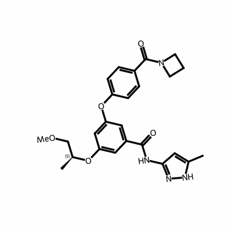 COC[C@H](C)Oc1cc(Oc2ccc(C(=O)N3CCC3)cc2)cc(C(=O)Nc2cc(C)[nH]n2)c1